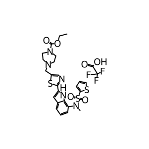 CCOC(=O)N1CCN(Cc2cnc(-c3cc4cccc(N(C)S(=O)(=O)c5cccs5)c4[nH]3)s2)CC1.O=C(O)C(F)(F)F